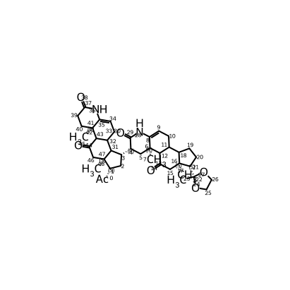 CC(=O)[C@H]1CC([C@H]2C[C@@]3(C)C(=CCC4C3C(=O)C[C@@]3(C)C4CC[C@@H]3C3(C)OCCO3)NC2=O)C2C3CC=C4NC(=O)CC[C@]4(C)C3C(=O)C[C@@]21C